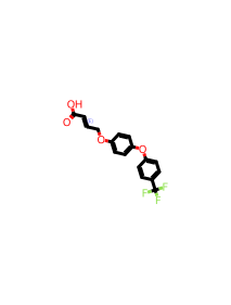 O=C(O)/C=C/COc1ccc(Oc2ccc(C(F)(F)F)cc2)cc1